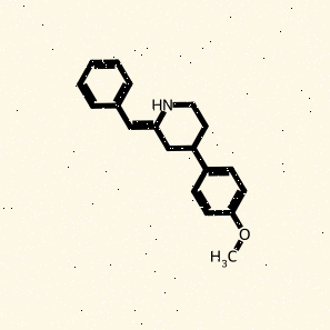 COc1ccc(C2CCNC(=Cc3ccccc3)C2)cc1